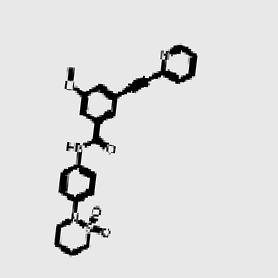 COc1cc(C#Cc2ccccn2)cc(C(=O)Nc2ccc(N3CCCCS3(=O)=O)cc2)c1